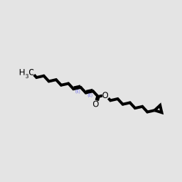 CCCCCCC/C=C/C=C/C(=O)OCCCCCCCC1CC1